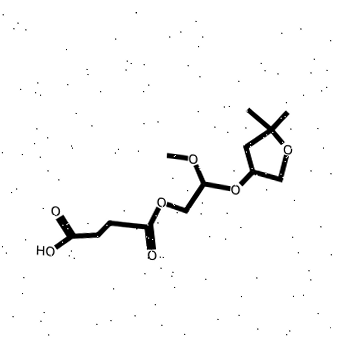 COC(COC(=O)CCC(=O)O)OC1COC(C)(C)C1